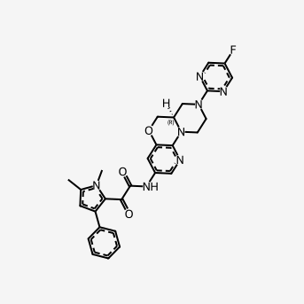 Cc1cc(-c2ccccc2)c(C(=O)C(=O)Nc2cnc3c(c2)OC[C@H]2CN(c4ncc(F)cn4)CCN32)n1C